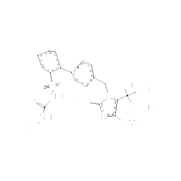 CCCNC(=O)NS(=O)(=O)c1ccccc1-c1ccc(Cn2c(C)nc(SC)c2C(C)(O)C(=O)OCC)cc1